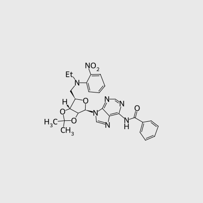 CCN(C[C@H]1O[C@@H](n2cnc3c(NC(=O)c4ccccc4)ncnc32)C2OC(C)(C)O[C@@H]21)c1ccccc1[N+](=O)[O-]